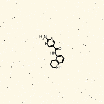 Nc1ncc(C(=O)Nc2cccc3c2CCCN3)cn1